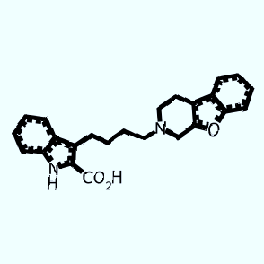 O=C(O)c1[nH]c2ccccc2c1CCCCN1CCc2c(oc3ccccc23)C1